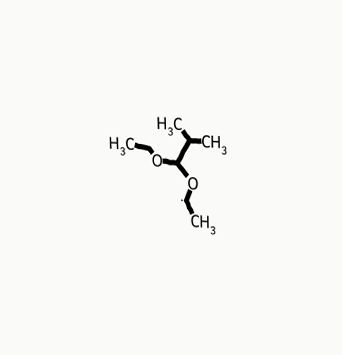 C[CH]OC(OCC)C(C)C